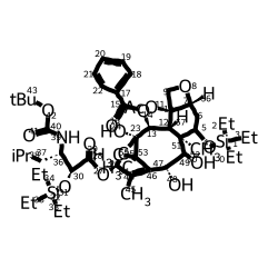 CC[Si](CC)(CC)OC1C[C@H]2OC[C@@]2(OC(C)=O)[C@H]2[C@H](OC(=O)c3ccccc3)[C@]3(O)C[C@H](OC(=O)[C@H](O[Si](CC)(CC)CC)[C@H](CC(C)C)NC(=O)OC(C)(C)C)C(C)=C([C@@H](O)C(O)[C@]12C)C3(C)C